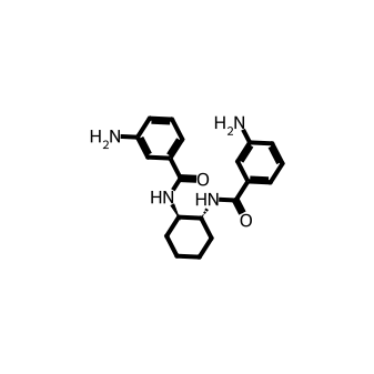 Nc1cccc(C(=O)N[C@@H]2CCCC[C@H]2NC(=O)c2cccc(N)c2)c1